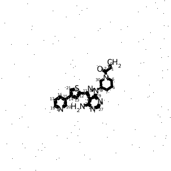 C=CC(=O)N1CCC[C@@H](n2nc(-c3cc(-c4cccnc4)cs3)c3c(N)ncnc32)C1